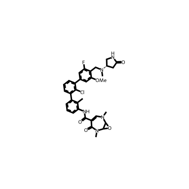 COc1cc(-c2cccc(-c3cccc(NC(=O)C4=CN(C)C5OC5N(C)C4=O)c3C)c2Cl)cc(F)c1CN(C)[C@@H]1CNC(=O)C1